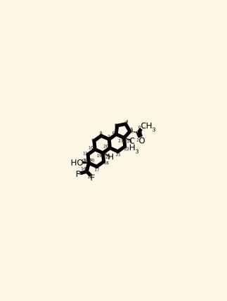 CC(=O)[C@H]1CCC2C3CCC4C[C@@](O)(C(F)F)CC[C@@H]4C3CC[C@@]21C